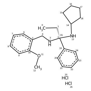 CC[C@](NCc1ccccc1OC)(NC1CCCC1)c1ccccc1.Cl.Cl